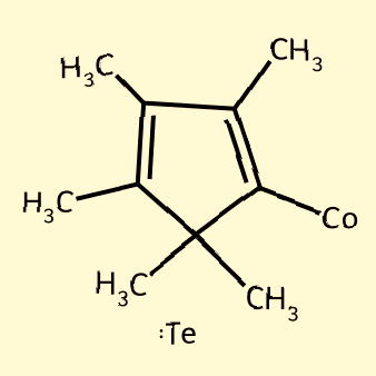 CC1=C(C)C(C)(C)[C]([Co])=C1C.[Te]